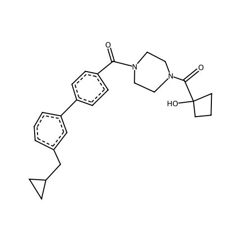 O=C(c1ccc(-c2cccc(CC3CC3)c2)cc1)N1CCN(C(=O)C2(O)CCC2)CC1